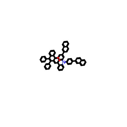 c1ccc(-c2c(-c3ccccc3)c3cc(-c4ccccc4N(c4ccc(-c5ccc6ccccc6c5)cc4)c4cccc(-c5ccc6ccccc6c5)c4)ccc3c3ccccc23)cc1